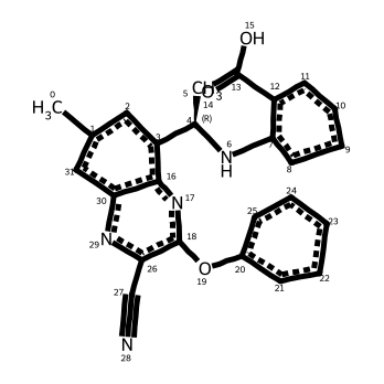 Cc1cc([C@@H](C)Nc2ccccc2C(=O)O)c2nc(Oc3ccccc3)c(C#N)nc2c1